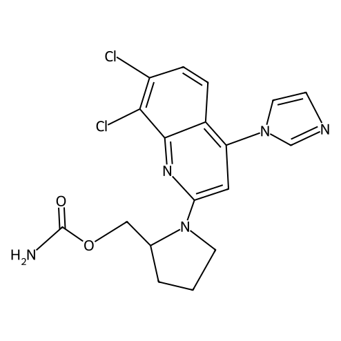 NC(=O)OCC1CCCN1c1cc(-n2ccnc2)c2ccc(Cl)c(Cl)c2n1